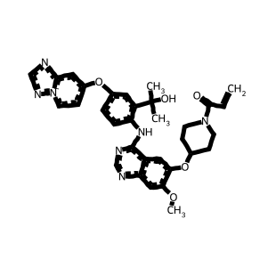 C=CC(=O)N1CCC(Oc2cc3c(Nc4ccc(Oc5ccn6ncnc6c5)cc4C(C)(C)O)ncnc3cc2OC)CC1